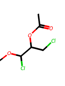 COC(Cl)C(CCl)OC(C)=O